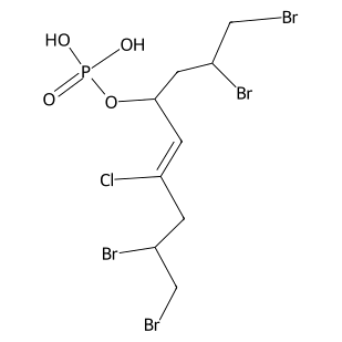 O=P(O)(O)OC(C=C(Cl)CC(Br)CBr)CC(Br)CBr